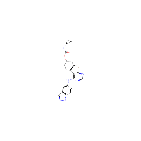 O=C(NC1CC1)OC1CCc2c(sc3ncnc(Nc4ccc5[nH]ncc5c4)c23)C1